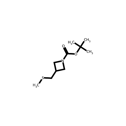 CSCC1CN(C(=O)OC(C)(C)C)C1